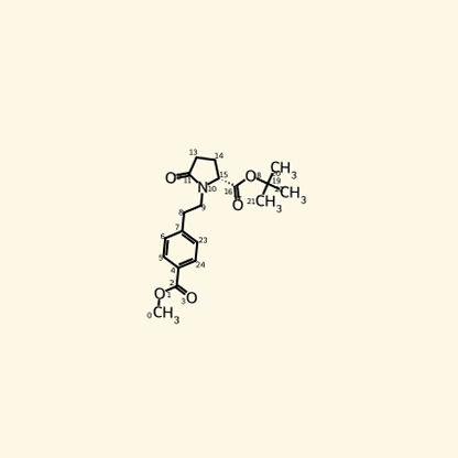 COC(=O)c1ccc(CCN2C(=O)CC[C@@H]2C(=O)OC(C)(C)C)cc1